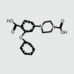 O=C(O)c1ccc(N2CCN(C(=O)O)CC2)cc1Oc1ccccc1